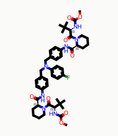 COC(=O)N[C@H](C(=O)N1CCCC[C@H]1C(=O)Nc1ccc(CN(Cc2ccc(NC(=O)[C@@H]3CCCCN3C(=O)[C@@H](NC(=O)OC)C(C)(C)C)cc2)c2ccc(F)cc2)cc1)C(C)(C)C